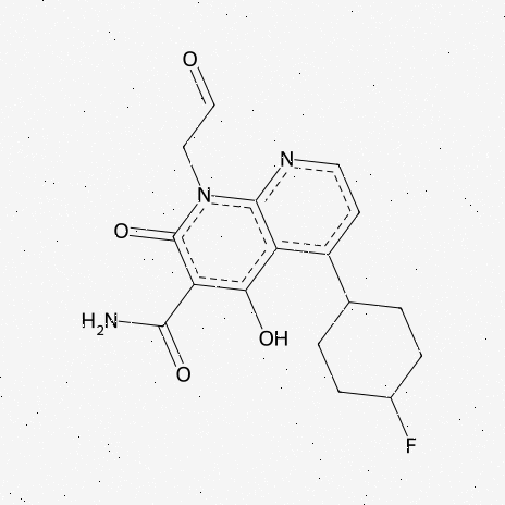 NC(=O)c1c(O)c2c(C3CCC(F)CC3)ccnc2n(CC=O)c1=O